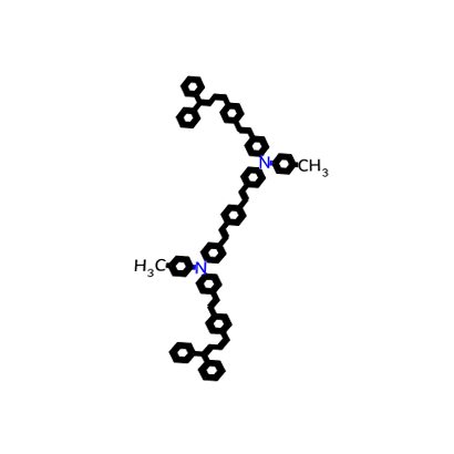 Cc1ccc(N(c2ccc(/C=C/c3ccc(/C=C\C=C(c4ccccc4)c4ccccc4)cc3)cc2)c2ccc(/C=C/c3ccc(/C=C/c4ccc(N(c5ccc(C)cc5)c5ccc(/C=C/c6ccc(/C=C\C=C(c7ccccc7)c7ccccc7)cc6)cc5)cc4)cc3)cc2)cc1